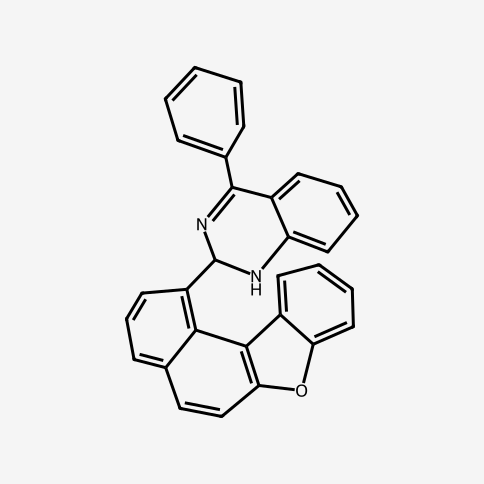 c1ccc(C2=NC(c3cccc4ccc5oc6ccccc6c5c34)Nc3ccccc32)cc1